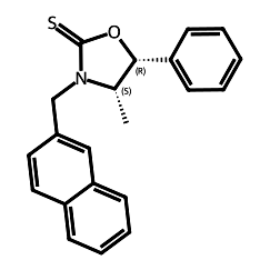 C[C@H]1[C@@H](c2ccccc2)OC(=S)N1Cc1ccc2ccccc2c1